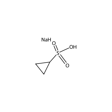 O=S(=O)(O)C1CC1.[NaH]